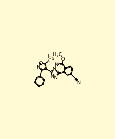 COc1nn2c(-c3c(-c4ccccc4)noc3C)nnc2c2cc(C#N)ccc12